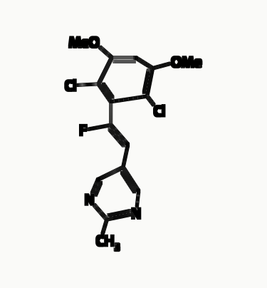 COc1cc(OC)c(Cl)c(/C(F)=C/c2cnc(C)nc2)c1Cl